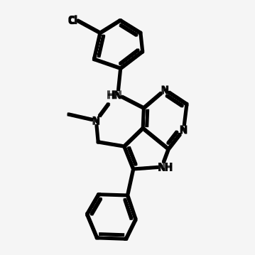 CN(C)Cc1c(-c2ccccc2)[nH]c2ncnc(Nc3cccc(Cl)c3)c12